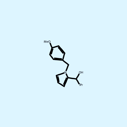 COc1ccc(Cn2cccc2C(O)C(C)C)cc1